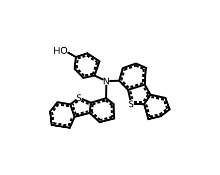 Oc1ccc(N(c2cccc3c2sc2ccccc23)c2cccc3c2sc2ccccc23)cc1